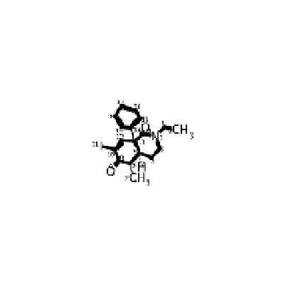 CCN1CC[C@H]2[C@H](C)C(=O)C(I)=C[C@]2(c2ccccc2)C1=O